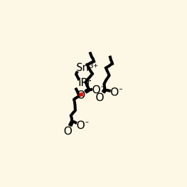 CC(C)[CH2][Sn+3].CCCCCC(=O)[O-].CCCCCC(=O)[O-].CCCCCC(=O)[O-]